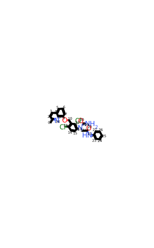 Cc1ccc2cccc(OCc3c(Cl)ccc(N(CC(=O)Nc4ccccc4)C(N)=O)c3Cl)c2n1